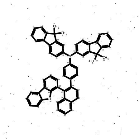 CC1(C)c2ccccc2-c2ccc(N(c3ccc(-c4ccc5ccccc5c4-c4cccc5c4oc4ccccc45)cc3)c3ccc4c(c3)C(C)(C)c3ccccc3-4)cc21